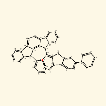 c1ccc(-c2ccc3c(c2)sc2c(-n4c5ccccc5c5ccc6c7ccccc7n(-c7ccccc7)c6c54)ncnc23)cc1